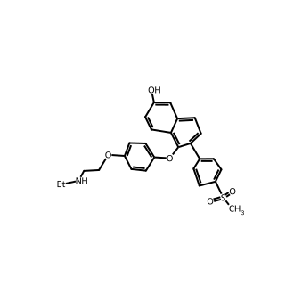 CCNCCOc1ccc(Oc2c(-c3ccc(S(C)(=O)=O)cc3)ccc3cc(O)ccc23)cc1